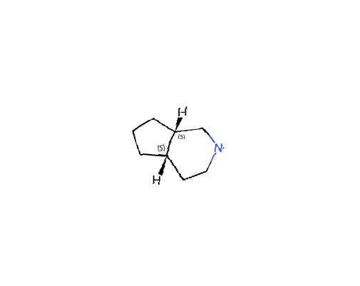 C1C[C@H]2CC[N]C[C@H]2C1